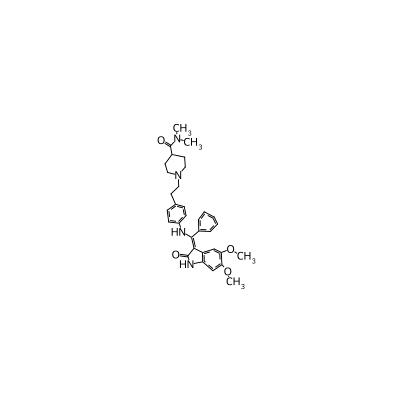 COc1cc2c(cc1OC)/C(=C(/Nc1ccc(CCN3CCC(C(=O)N(C)C)CC3)cc1)c1ccccc1)C(=O)N2